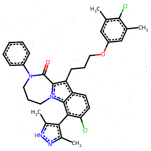 Cc1cc(OCCCc2c3n(c4c(-c5c(C)n[nH]c5C)c(Cl)ccc24)CCCN(c2ccccc2)C3=O)cc(C)c1Cl